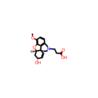 COc1ccc2c3c1O[C@H]1C[C@@H](O)C=C[C@@]31CCN(CCC(=O)O)C2